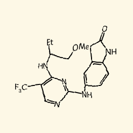 CCC(COC)Nc1nc(Nc2ccc3c(c2)CC(=O)N3)ncc1C(F)(F)F